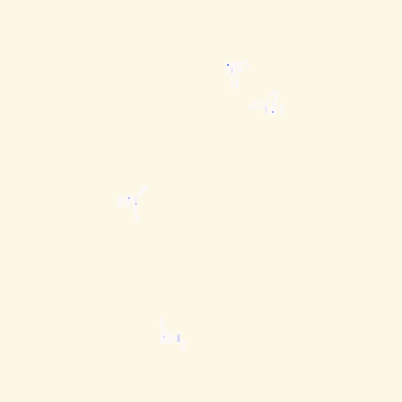 Nc1ccc(Nc2ccc(-c3ncc[nH]3)cc2)cc1